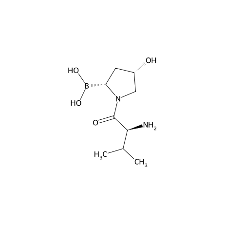 CC(C)[C@H](N)C(=O)N1C[C@@H](O)C[C@H]1B(O)O